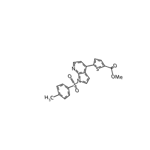 COC(=O)c1ccc(-c2ccnc3c2ccn3S(=O)(=O)c2ccc(C)cc2)s1